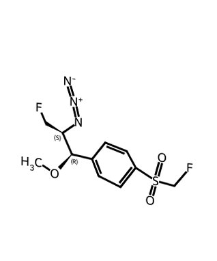 CO[C@H](c1ccc(S(=O)(=O)CF)cc1)[C@@H](CF)N=[N+]=[N-]